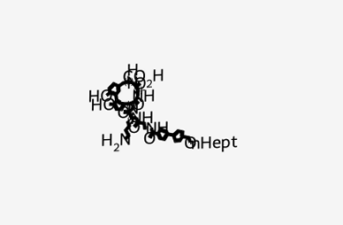 CCCCCCCOCc1ccc(-c2ccc(C(=O)NCCC(=O)N[C@@H](CCCCN)C(=O)N(C)[C@@H]3C(=O)N[C@@H](C)C(=O)N[C@H](C(=O)O)Cc4ccc(O)c(c4)-c4cc3ccc4O)cc2)cc1